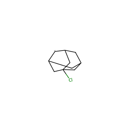 ClC12CC3[C]C(CC(C3)C1)C2